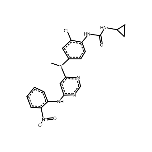 CN(c1ccc(NC(=O)NC2CC2)c(Cl)c1)c1cc(Nc2ccccc2[N+](=O)[O-])ncn1